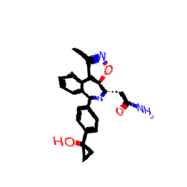 Cc1noc2c1-c1ccccc1C(c1ccc(C3(O)CC3)cc1)=N[C@H]2CC(N)=O